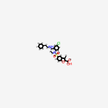 CCN(c1ccc(Cl)cc1CNCCc1ccccc1)S(=O)(=O)c1ccc2oc(C(=O)O)c(C)c2c1